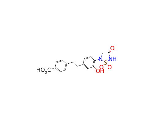 O=C1CN(c2ccc(CCc3ccc(C(=O)O)cc3)cc2O)S(=O)(=O)N1